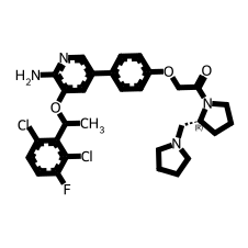 CC(Oc1cc(-c2ccc(OCC(=O)N3CCC[C@@H]3CN3CCCC3)cc2)cnc1N)c1c(Cl)ccc(F)c1Cl